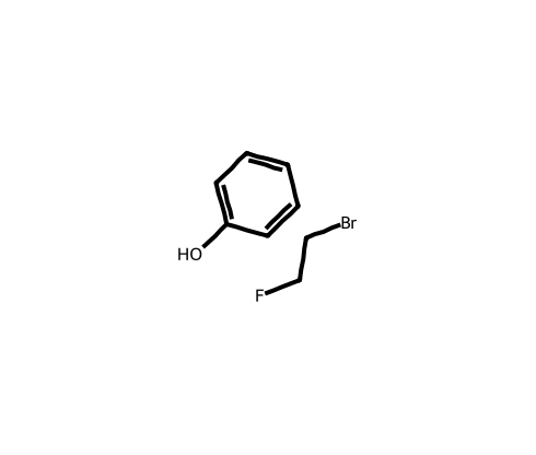 FCCBr.Oc1ccccc1